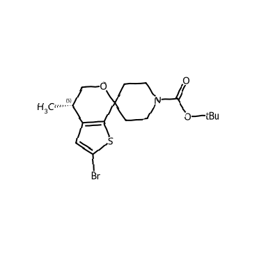 C[C@@H]1COC2(CCN(C(=O)OC(C)(C)C)CC2)c2sc(Br)cc21